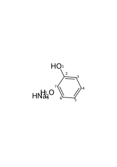 O.Oc1ccccc1.[NaH]